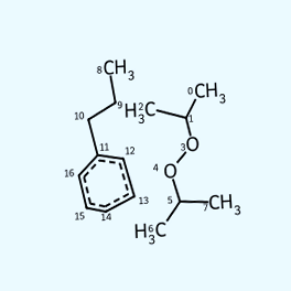 CC(C)OOC(C)C.CCCc1ccccc1